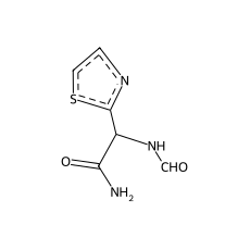 NC(=O)C(NC=O)c1nccs1